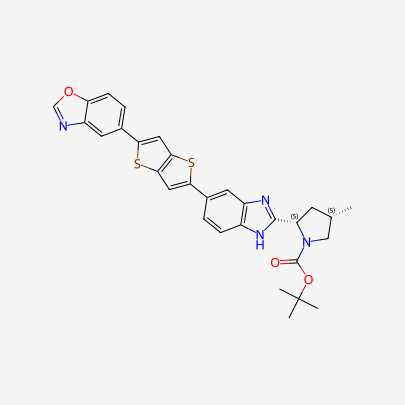 C[C@H]1C[C@@H](c2nc3cc(-c4cc5sc(-c6ccc7ocnc7c6)cc5s4)ccc3[nH]2)N(C(=O)OC(C)(C)C)C1